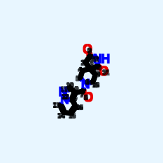 O=C1CC2(CCN(C(=O)c3cnn4ccccc34)CC2)C(=O)N1